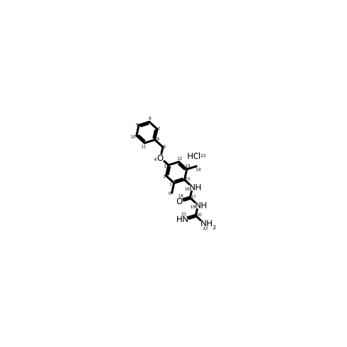 Cc1cc(OCc2ccccc2)cc(C)c1NC(=O)NC(=N)N.Cl